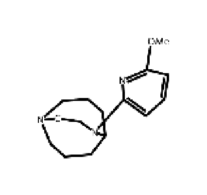 COc1cccc(N2CCN3CCCC2CCC3)n1